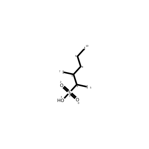 O=S(=O)(O)C(I)C(I)CCI